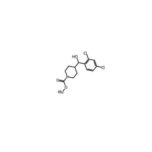 CC(C)(C)OC(=O)N1CCC(C(O)c2ccc(Cl)cc2Cl)CC1